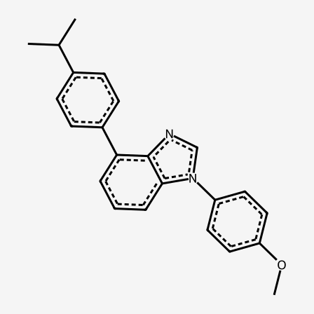 COc1ccc(-n2cnc3c(-c4ccc(C(C)C)cc4)cccc32)cc1